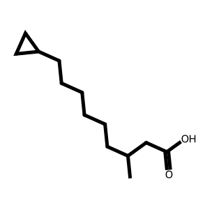 CC(CCCCCCC1CC1)CC(=O)O